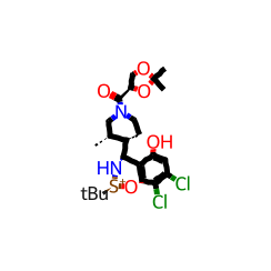 C[C@@H]1CN(C(=O)[C@H]2COC(C)(C)O2)CC[C@@H]1[C@@H](N[S@@+]([O-])C(C)(C)C)c1cc(Cl)c(Cl)cc1O